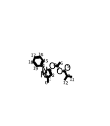 Cc1cc(OC(C)OC(=O)C(C)C)n(-c2ccccc2)n1